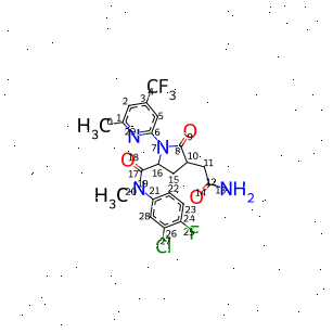 Cc1cc(C(F)(F)F)cc(N2C(=O)C(CC(N)=O)CC2C(=O)N(C)c2ccc(F)c(Cl)c2)n1